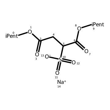 CCCC(C)OC(=O)CC(C(=O)OC(C)CCC)S(=O)(=O)[O-].[Na+]